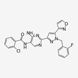 Nc1nc(-c2cc(-c3ccon3)n(Cc3ccccc3F)n2)ncc1NC(=O)c1ccccc1Cl